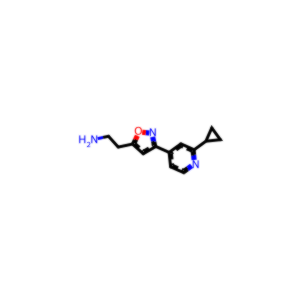 NCCc1cc(-c2ccnc(C3CC3)c2)no1